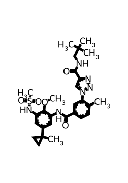 COc1c(NC(=O)c2ccc(C)c(-n3cc(C(=O)NCC(C)(C)C)nn3)c2)cc(C2(C)CC2)cc1NS(C)(=O)=O